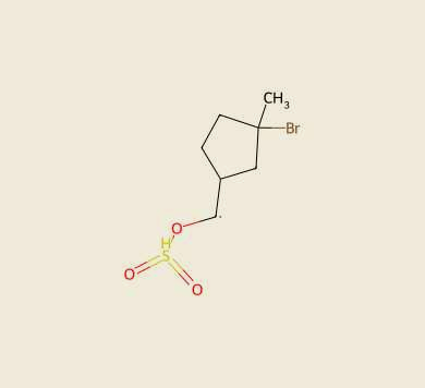 CC1(Br)CCC([CH]O[SH](=O)=O)C1